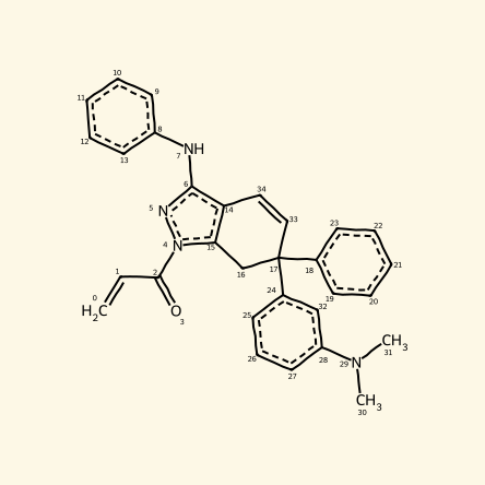 C=CC(=O)n1nc(Nc2ccccc2)c2c1CC(c1ccccc1)(c1cccc(N(C)C)c1)C=C2